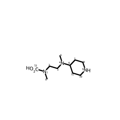 CN(CCN(C)C1CCNCC1)C(=O)O